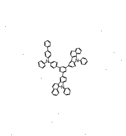 c1ccc(-c2ccc(N(c3ccccc3)c3ccc(-c4cc(-c5ccc6c(c5)c5ccc7ccccc7c5n6-c5ccccc5)cc(-c5ccc6c(c5)c5ccc7ccccc7c5n6-c5ccccc5)c4)cc3)cc2)cc1